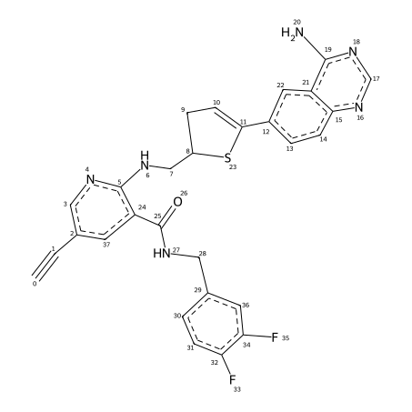 C#Cc1cnc(NCC2CC=C(c3ccc4ncnc(N)c4c3)S2)c(C(=O)NCc2ccc(F)c(F)c2)c1